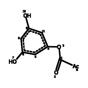 CC(=O)C(=O)Oc1cc(O)cc(O)c1